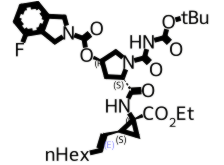 CCCCCC/C=C/[C@@H]1C[C@]1(NC(=O)[C@@H]1C[C@@H](OC(=O)N2Cc3cccc(F)c3C2)CN1C(=O)NC(=O)OC(C)(C)C)C(=O)OCC